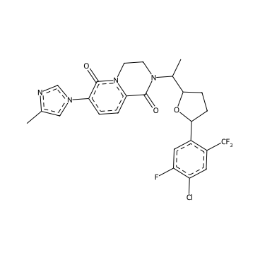 Cc1cn(-c2ccc3n(c2=O)CCN(C(C)C2CCC(c4cc(F)c(Cl)cc4C(F)(F)F)O2)C3=O)cn1